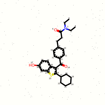 CCN(CC)C(=O)CCc1ccc(C(=O)c2c(C3CCCCC3)sc3cc(O)ccc23)cc1